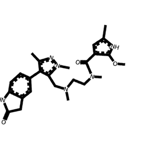 COc1[nH]c(C)cc1C(=O)N(C)CCN(C)Cc1c(-c2ccc3c(c2)CC(=O)N3)c(C)nn1C